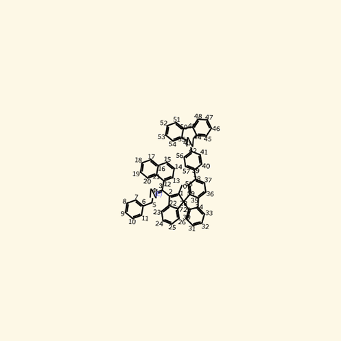 CC1=C(/C(=N\Cc2ccccc2)c2cccc3ccccc23)c2ccccc2C12c1ccccc1-c1ccc(-c3ccc(-n4c5ccccc5c5ccccc54)cc3)cc12